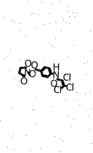 O=C(Nc1ccc(C(=O)ON2C(=O)CCC2=O)cc1)C(Cl)=C(Cl)Cl